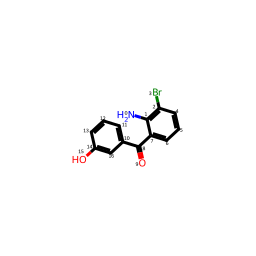 Nc1c(Br)cccc1C(=O)c1cccc(O)c1